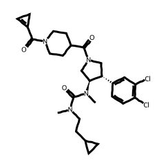 CN(CCC1CC1)C(=O)N(C)[C@H]1CN(C(=O)C2CCN(C(=O)C3=CC3)CC2)C[C@@H]1c1ccc(Cl)c(Cl)c1